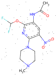 CC(=O)Nc1cc([N+](=O)[O-])c(N2CCN(C)CC2)nc1OC(F)F